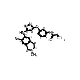 C=CC(=O)Nc1cccc(Oc2cc(Nc3cc4c(cc3Br)CN(C)CC4)[nH]n2)c1